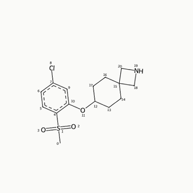 CS(=O)(=O)c1ccc(Cl)cc1OC1CCC2(CC1)CNC2